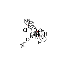 Cn1cc2c(Cl)c(-c3cn(COCC[Si](C)(C)C)c4nc(N5[C@H]6CC[C@@H]5[C@@H](F)[C@@H](NC(=O)OCc5ccccc5)C6)cnc34)ccc2n1